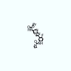 CC(C)OC(=O)Nc1cnc2nc(-c3cc(NC(=O)N4CCC4)ccc3F)cn2c1